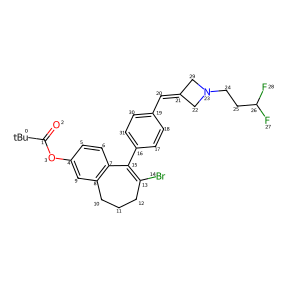 CC(C)(C)C(=O)Oc1ccc2c(c1)CCCC(Br)=C2c1ccc(C=C2CN(CCC(F)F)C2)cc1